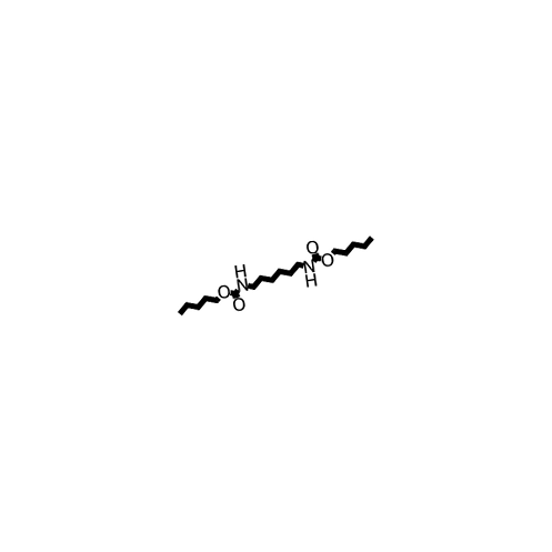 CCCCCOC(=O)NCCCCCCNC(=O)OCCCCC